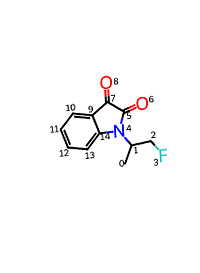 CC(CF)N1C(=O)C(=O)c2ccccc21